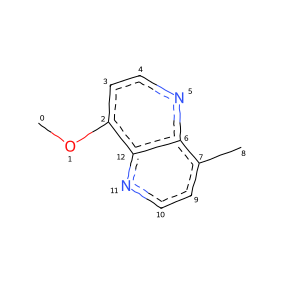 COc1ccnc2c(C)ccnc12